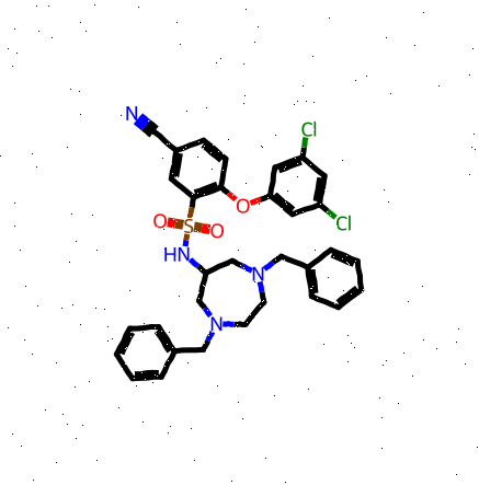 N#Cc1ccc(Oc2cc(Cl)cc(Cl)c2)c(S(=O)(=O)NC2CN(Cc3ccccc3)CCN(Cc3ccccc3)C2)c1